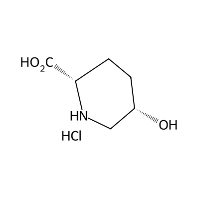 Cl.O=C(O)[C@@H]1CC[C@H](O)CN1